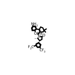 COc1ccc(N)cc1C1=C(CN2C(=O)C[C@H](c3cc(C(F)(F)F)cc(C(F)(F)F)c3)[C@@H]2C)CC(C)(C)CC1